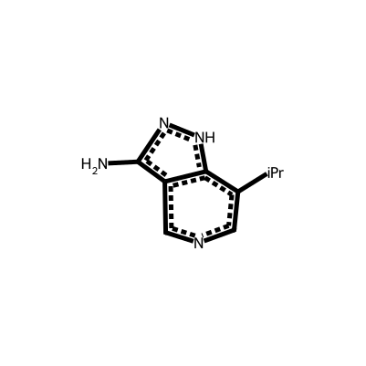 CC(C)c1cncc2c(N)n[nH]c12